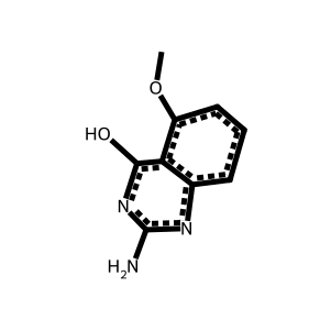 COc1cccc2nc(N)nc(O)c12